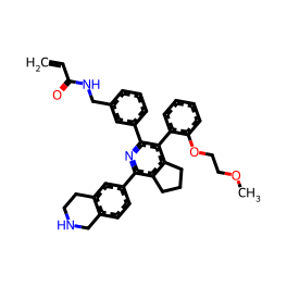 C=CC(=O)NCc1cccc(-c2nc(-c3ccc4c(c3)CCNC4)c3c(c2-c2ccccc2OCCOC)CCC3)c1